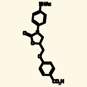 CC(=O)Nc1ccc(N2CC(COc3ccc(C(=O)O)cc3)OC2=O)cc1